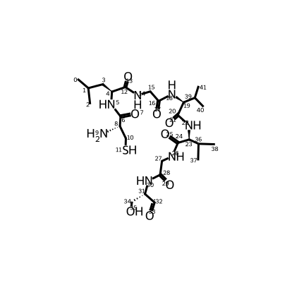 CC(C)C[C@H](NC(=O)[C@@H](N)CS)C(=O)NCC(=O)N[C@H](C(=O)N[C@H](C(=O)NCC(=O)N[C@H]([C]=O)CO)C(C)C)C(C)C